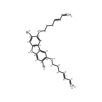 C=C/C=C/CCCOc1cc2c(cc1Br)oc1cc(Br)c(OCCC/C=C/C=C)cc12